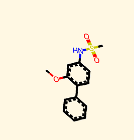 COc1cc(NS(C)(=O)=O)ccc1-c1ccccc1